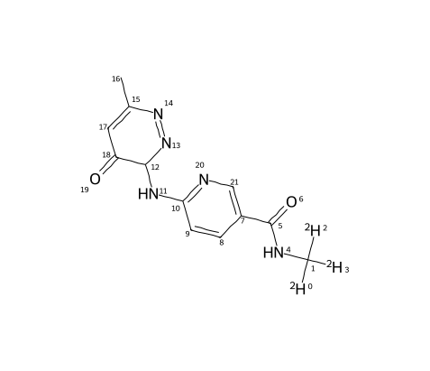 [2H]C([2H])([2H])NC(=O)c1ccc(NC2N=NC(C)=CC2=O)nc1